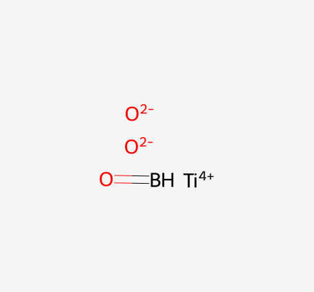 B=O.[O-2].[O-2].[Ti+4]